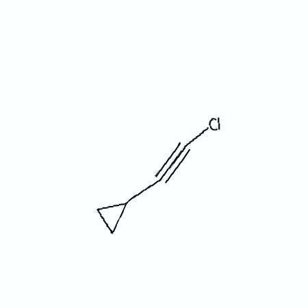 ClC#CC1CC1